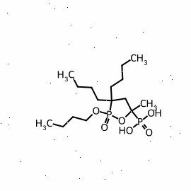 CCCCOP1(=O)OC(C)(P(=O)(O)O)CC1(CCCC)CCCC